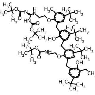 CCc1cc(C(C)(C)C)cc(Cc2cc(C(C)(C)C)cc(Cc3cc(C(C)(C)C)cc(Cc4cc(C(C)(C)C)cc(C)c4OCCN/C(=N/C(=O)OC(C)(C)C)NC(=O)OC(C)(C)C)c3O)c2OCCNC(=O)OC(C)(C)C)c1O